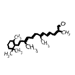 CC1=C(/C=C/C(C)=C/C=C/C(C)=C/C=C/C=C(/C)C=O)C(C)(C)CCC1